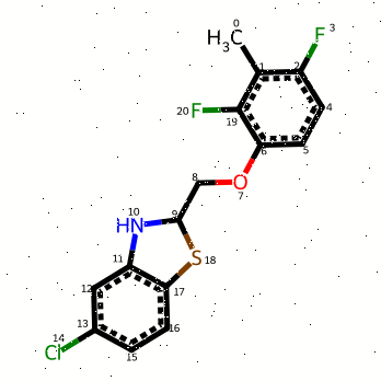 Cc1c(F)ccc(OCC2Nc3cc(Cl)ccc3S2)c1F